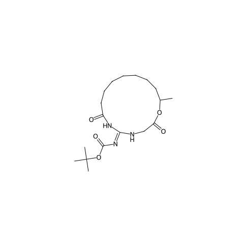 CC1CCCCCCCC(=O)NC(=NC(=O)OC(C)(C)C)NCC(=O)O1